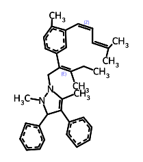 CC/C(C)=C(/CN1C(C)=C(c2ccccc2)C(c2ccccc2)N1C)c1ccc(C)c(/C=C\C=C(C)C)c1